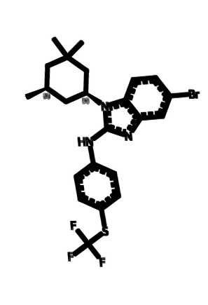 C[C@@H]1C[C@H](n2c(Nc3ccc(SC(F)(F)F)cc3)nc3cc(Br)ccc32)CC(C)(C)C1